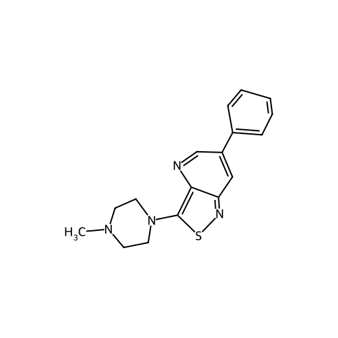 CN1CCN(c2snc3cc(-c4ccccc4)cnc23)CC1